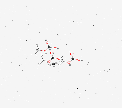 CC(C)OB([O-])[O-].CC(C)OB([O-])[O-].CC(C)OB([O-])[O-].[B+3].[B+3]